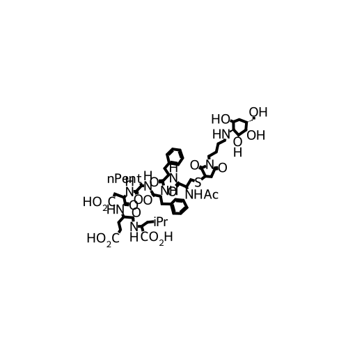 CCCCCC(NC(=O)C(Cc1ccccc1)NC(=O)C(Cc1ccccc1)NC(=O)C(CSC1CC(=O)N(CCCCN[C@H]2C(O)C[C@H](CO)[C@@H](O)[C@@H]2O)C1=O)NC(C)=O)C(=O)NC(CC(=O)O)C(=O)NC(CCC(=O)O)C(=O)NC(CC(C)C)C(=O)O